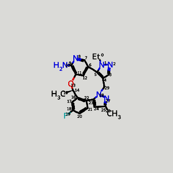 CCn1ncc2c1-c1cnc(N)c(c1)O[C@H](C)c1cc(F)ccc1-c1cc(C)nn1C2